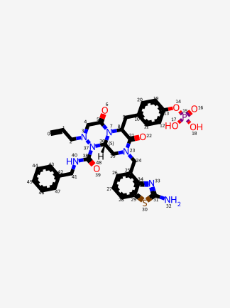 C=CCN1CC(=O)N2C(Cc3ccc(OP(=O)(O)O)cc3)C(=O)N(Cc3cccc4sc(N)nc34)C[C@@H]2N1C(=O)NCc1ccccc1